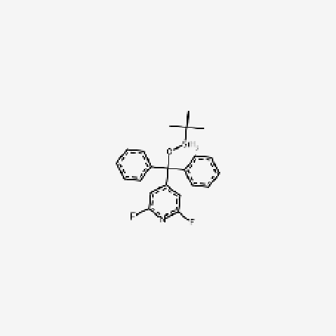 CC(C)(C)[SiH2]OC(c1ccccc1)(c1ccccc1)c1cc(F)nc(F)c1